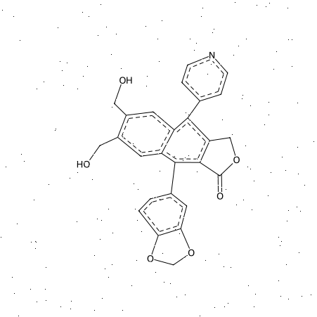 O=C1OCc2c1c(-c1ccc3c(c1)OCO3)c1cc(CO)c(CO)cc1c2-c1ccncc1